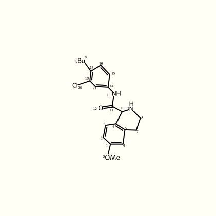 COc1ccc2c(c1)CCNC2C(=O)Nc1ccc(C(C)(C)C)c(Cl)c1